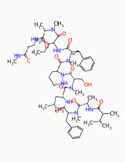 CCC(C)C(NC(=O)[C@@H](Cc1ccccc1)N(C)C(=O)C1CCCNN1C(=O)C(CO)N(C)C(=O)C(CC(C)C)NC(=O)C(Cc1ccccc1)N(C)C(=O)C(C)NC(=O)C(C)C(C)C)C(=O)N(C)C(C)C(=O)NCCC(=O)NC